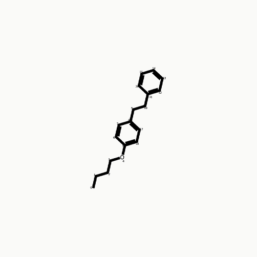 CCCCOc1ccc(CCc2ccccc2)cc1